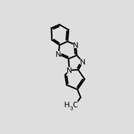 CCc1ccn2c(c1)nc1nc3ccccc3nc12